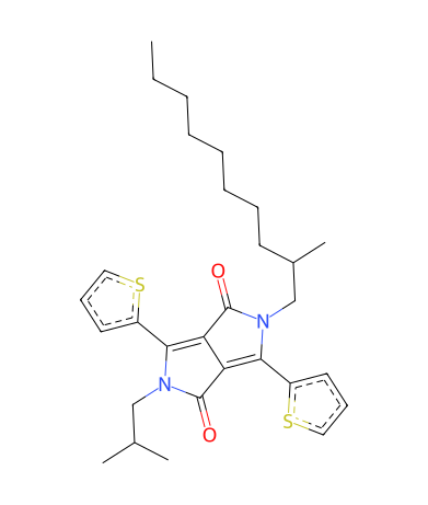 CCCCCCCCC(C)CN1C(=O)C2=C(c3cccs3)N(CC(C)C)C(=O)C2=C1c1cccs1